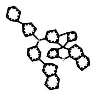 c1ccc(-c2ccc(N(c3cccc(-c4ccc5ccccc5c4)c3)c3ccc4c(c3)C3(c5ccccc5Oc5c3ccc3ccccc53)c3ccccc3-4)cc2)cc1